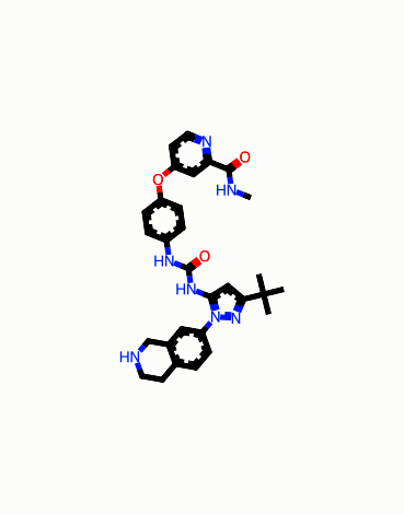 CNC(=O)c1cc(Oc2ccc(NC(=O)Nc3cc(C(C)(C)C)nn3-c3ccc4c(c3)CNCC4)cc2)ccn1